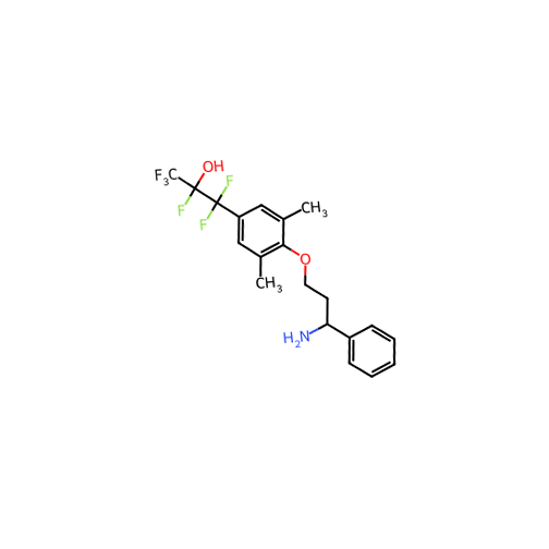 Cc1cc(C(F)(F)C(O)(F)C(F)(F)F)cc(C)c1OCCC(N)c1ccccc1